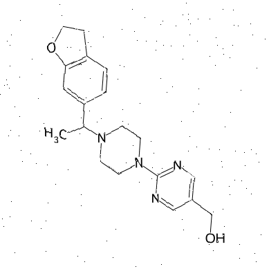 CC(c1ccc2c(c1)OCC2)N1CCN(c2ncc(CO)cn2)CC1